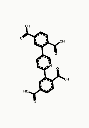 O=C(O)c1ccc(C(=O)O)c(-c2ccc(-c3cc(C(=O)O)ccc3C(=O)O)nc2)c1